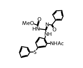 COC(=O)N/C(=N/C(=O)c1ccccc1)Nc1ccc(Sc2ccccc2)cc1NC(C)=O